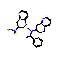 CC(c1ccccc1)N(C)C1CCc2cccnc2C1.CCCNC1CCc2cccnc2C1